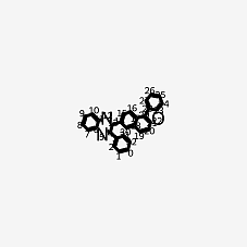 c1ccc(-c2nc3ccccc3nc2-c2ccc3c(ccc4oc5ccccc5c43)c2)cc1